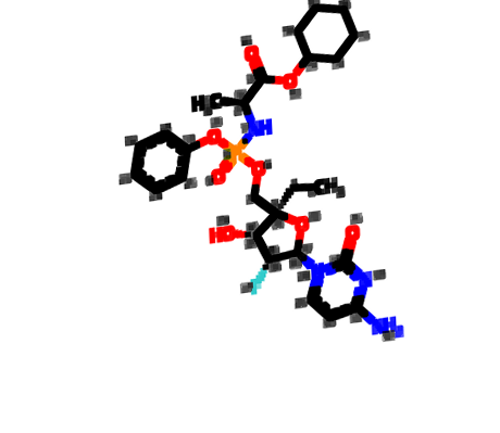 CC[C@]1(COP(=O)(N[C@@H](C)C(=O)OC2CCCCC2)Oc2ccccc2)O[C@@H](n2ccc(N)nc2=O)[C@H](F)[C@@H]1O